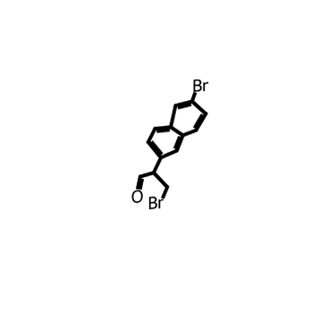 O=CC(CBr)c1ccc2cc(Br)ccc2c1